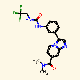 CN(C)C(=O)c1ccn2c(-c3cccc(NC(=O)NCC(F)(F)F)c3)cnc2c1